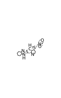 Cc1c(SCC[N+]2([O-])CCOCC2)ccnc1CSc1nc2ccccc2[nH]1